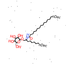 CCCCCCCCCCCCCCCCCCCCCCCC(=O)N[C@@H](CCCCCCCCCCCCCCCC)CO[C@H]1O[C@H](CO)[C@H](O)[C@H](O)[C@H]1O